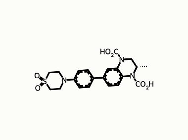 C[C@H]1CN(C(=O)O)c2cc(-c3ccc(N4CCS(=O)(=O)CC4)cc3)ccc2N1C(=O)O